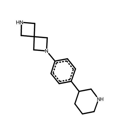 c1cc(N2CC3(CNC3)C2)ccc1C1CCCNC1